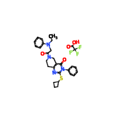 CCN(CC(=O)N1CCc2nc(SC3CCC3)n(-c3ccccc3)c(=O)c2C1)c1ccccc1.O=C(O)C(F)(F)F